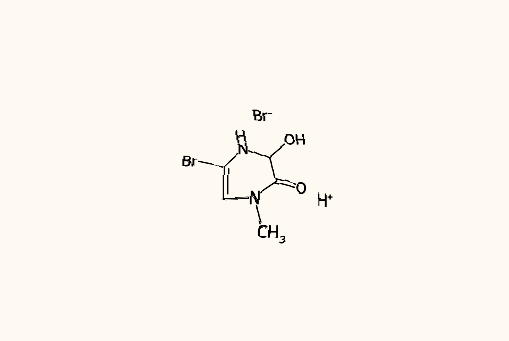 CN1C=C(Br)NC(O)C1=O.[Br-].[H+]